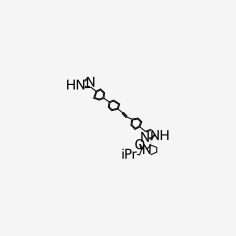 CC(C)CC(=O)N1CCC[C@H]1c1nc(-c2ccc(C#Cc3ccc(-c4ccc(-c5c[nH]cn5)cc4)cc3)cc2)c[nH]1